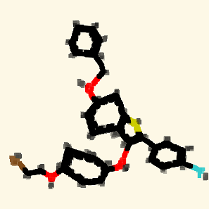 Fc1ccc(-c2sc3cc(OCc4ccccc4)ccc3c2Oc2ccc(OCCBr)cc2)cc1